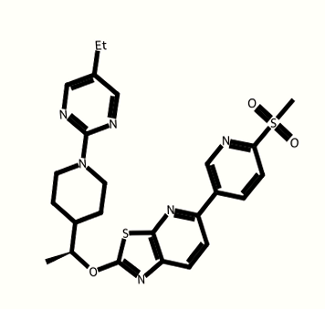 CCc1cnc(N2CCC([C@H](C)Oc3nc4ccc(-c5ccc(S(C)(=O)=O)nc5)nc4s3)CC2)nc1